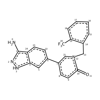 Nc1n[nH]c2cc(-c3ccc(=O)n(Cc4ccccc4C(F)(F)F)c3)ccc12